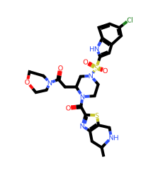 CC1Cc2nc(C(=O)N3CCN(S(=O)(=O)c4cc5cc(Cl)ccc5[nH]4)CC3CC(=O)N3CCOCC3)sc2CN1